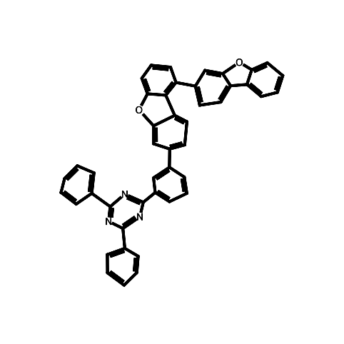 c1ccc(-c2nc(-c3ccccc3)nc(-c3cccc(-c4ccc5c(c4)oc4cccc(-c6ccc7c(c6)oc6ccccc67)c45)c3)n2)cc1